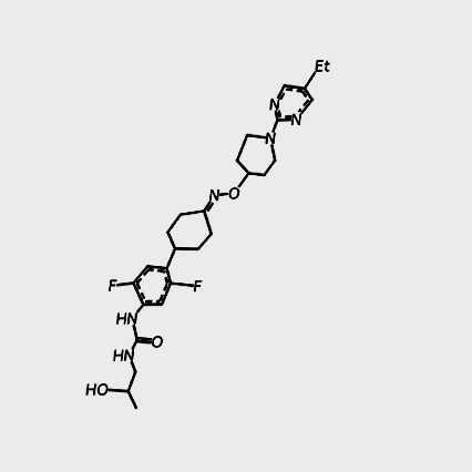 CCc1cnc(N2CCC(ON=C3CCC(c4cc(F)c(NC(=O)NCC(C)O)cc4F)CC3)CC2)nc1